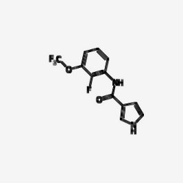 O=C(Nc1cccc(OC(F)(F)F)c1F)c1cc[nH]c1